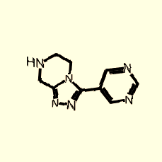 c1ncc(-c2nnc3n2CCNC3)cn1